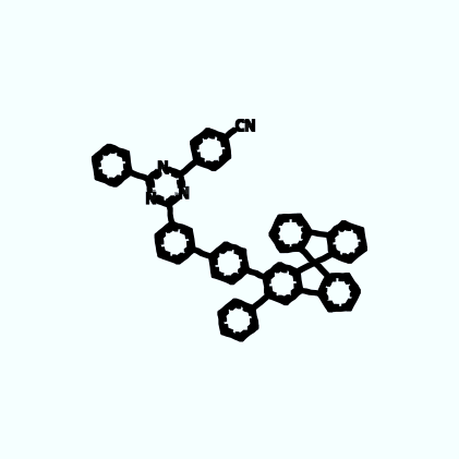 N#Cc1ccc(-c2nc(-c3ccccc3)nc(-c3cccc(-c4ccc(-c5cc6c(cc5-c5ccccc5)-c5ccccc5C65c6ccccc6-c6ccccc65)cc4)c3)n2)cc1